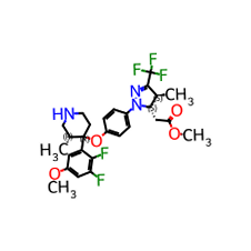 COC(=O)C[C@H]1[C@H](C)C(C(F)(F)F)=NN1c1ccc(O[C@]2(c3cc(OC)cc(F)c3F)CCNC[C@H]2C)cc1